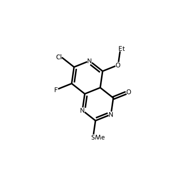 CCOC1=NC(Cl)=C(F)C2=NC(SC)=NC(=O)C12